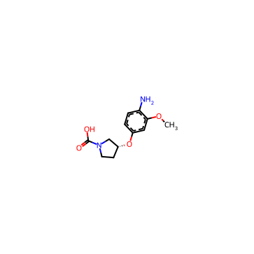 COc1cc(O[C@@H]2CCN(C(=O)O)C2)ccc1N